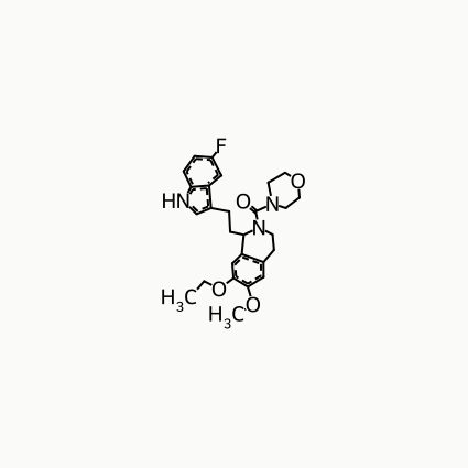 CCOc1cc2c(cc1OC)CCN(C(=O)N1CCOCC1)C2CCc1c[nH]c2ccc(F)cc12